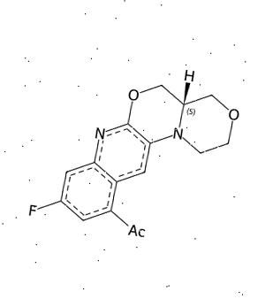 CC(=O)c1cc(F)cc2nc3c(cc12)N1CCOC[C@H]1CO3